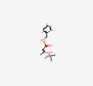 C/C(=C/C(=O)OCc1ccccc1)O[Si](C)(C)C